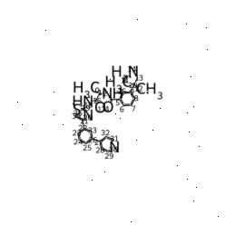 C[C@H](NC(=O)c1cccc(C(C)(C)CN)c1)C(=O)Nc1nc(-c2cccc(-c3ccncc3)c2)cs1